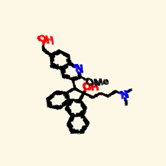 COc1nc2ccc(CO)cc2cc1C(c1ccccc1)C(O)(CCCCN(C)C)c1ccc2ccccc2c1